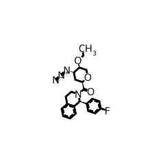 CCO[C@H]1CO[C@@H](C(=O)N2CCc3ccccc3[C@@H]2c2ccc(F)cc2)C[C@@H]1N=[N+]=[N-]